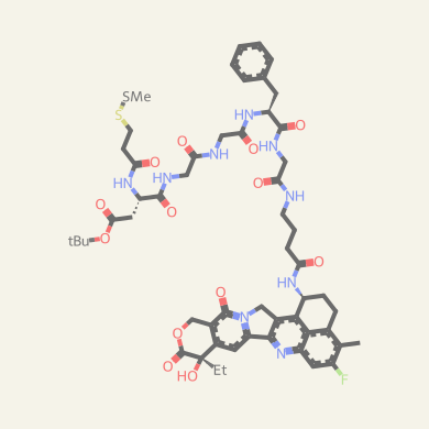 CC[C@@]1(O)C(=O)OCc2c1cc1n(c2=O)Cc2c-1nc1cc(F)c(C)c3c1c2[C@@H](NC(=O)CCCNC(=O)CNC(=O)[C@H](Cc1ccccc1)NC(=O)CNC(=O)CNC(=O)[C@H](CC(=O)OC(C)(C)C)NC(=O)CCSSC)CC3